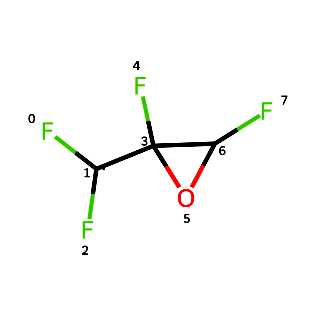 F[C](F)C1(F)OC1F